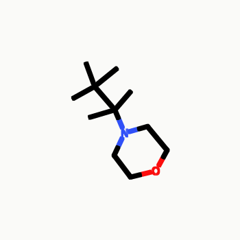 CC(C)(C)C(C)(C)N1CCOCC1